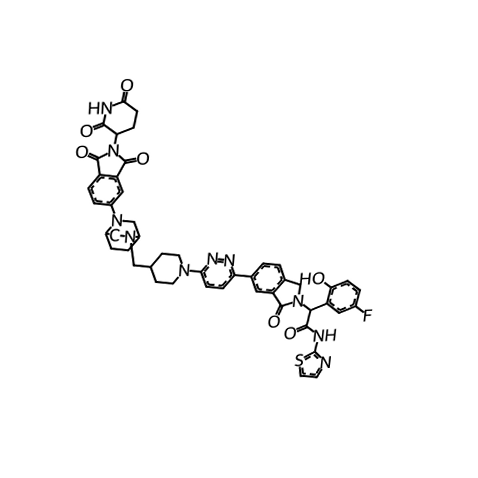 O=C1CCC(N2C(=O)c3ccc(N4CC5CCC4CN5CC4CCN(c5ccc(-c6ccc7c(c6)C(=O)N(C(C(=O)Nc6nccs6)c6cc(F)ccc6O)C7)nn5)CC4)cc3C2=O)C(=O)N1